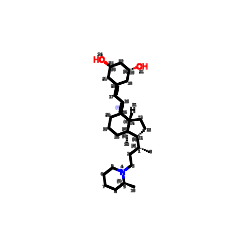 C[C@H](CCN1CCCC[C@@H]1C)[C@H]1CC[C@H]2/C(=C/C=C3C[C@@H](O)C[C@H](O)C3)CCC[C@]12C